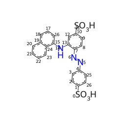 O=S(=O)(O)c1ccc(N=Nc2ccc(S(=O)(=O)O)cc2Nc2cccc3ccccc23)cc1